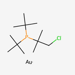 CC(C)(C)P(C(C)(C)C)C(C)(C)CCl.[Au]